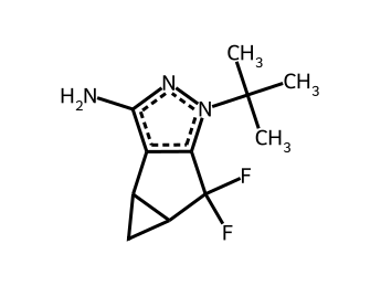 CC(C)(C)n1nc(N)c2c1C(F)(F)C1CC21